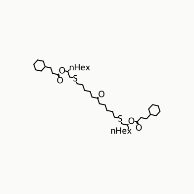 CCCCCCC(CSCCCCCC(=O)CCCCCSCC(CCCCCC)OC(=O)CCC1CCCCC1)OC(=O)CCC1CCCCC1